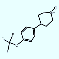 FC(F)(F)Oc1ccc(C2CC[SiH](Cl)CC2)cc1